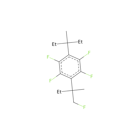 CCC(C)(CC)c1c(F)c(F)c(C(C)(CC)CF)c(F)c1F